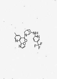 Cc1cnc(-c2ncco2)c(C(=O)N2CC3CC(Nc4ccc(C(F)(F)F)cn4)C2C3)c1